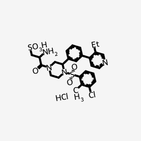 CCc1cnccc1-c1cccc(C2CN(C(=O)C(N)CS(=O)(=O)O)CCN2S(=O)(=O)c2cccc(Cl)c2C)c1.Cl